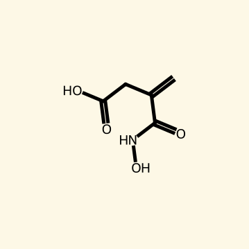 C=C(CC(=O)O)C(=O)NO